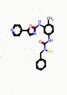 Cc1ccc(NC(=O)N(S)Cc2ccccc2)cc1Nc1ncc(-c2ccncc2)o1